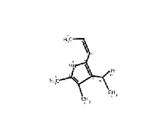 C/C=C\c1[nH]c(C)c(C)c1C(C)C(C)C